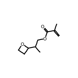 C=C(C)C(=O)OCC(C)C1CCO1